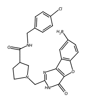 Bc1ccc2oc3c(=O)[nH]c(CN4CCC(C(=O)NCc5ccc(Cl)cc5)C4)nc3c2c1